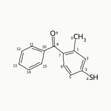 Cc1cc(S)ccc1C(=O)c1ccccc1